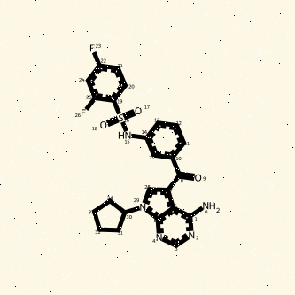 Nc1ncnc2c1c(C(=O)c1cccc(NS(=O)(=O)c3ccc(F)cc3F)c1)cn2C1CCCC1